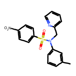 Cc1cccc(N(Cc2ccccn2)S(=O)(=O)c2ccc([N+](=O)[O-])cc2)c1